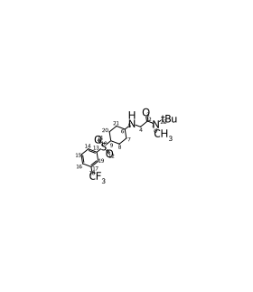 CN(C(=O)CNC1CCC(S(=O)(=O)c2cccc(C(F)(F)F)c2)CC1)C(C)(C)C